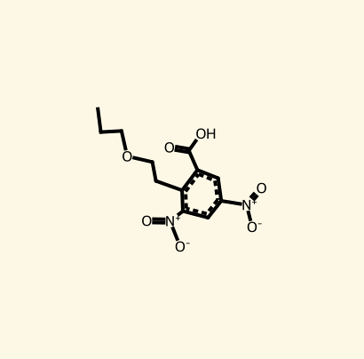 CCCOCCc1c(C(=O)O)cc([N+](=O)[O-])cc1[N+](=O)[O-]